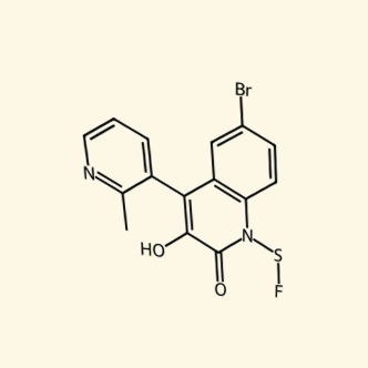 Cc1ncccc1-c1c(O)c(=O)n(SF)c2ccc(Br)cc12